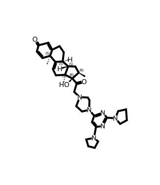 C[C@@H]1C[C@H]2[C@@H]3CCC4=CC(=O)C=C[C@]4(C)C3=CC[C@]2(C)[C@@]1(O)C(=O)CN1CCN(c2cc(N3CCCC3)nc(N3CCCC3)n2)CC1